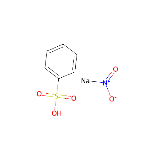 O=S(=O)(O)c1ccccc1.O=[N+]([O-])[Na]